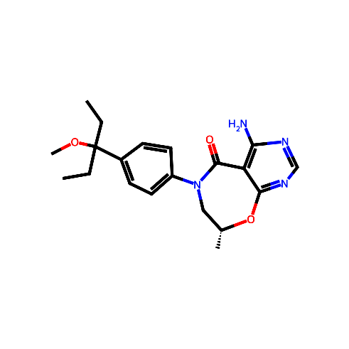 CCC(CC)(OC)c1ccc(N2C[C@@H](C)Oc3ncnc(N)c3C2=O)cc1